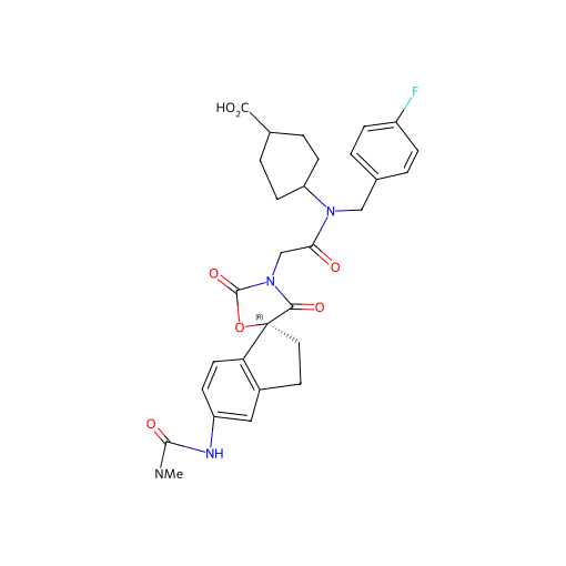 CNC(=O)Nc1ccc2c(c1)CC[C@@]21OC(=O)N(CC(=O)N(Cc2ccc(F)cc2)C2CCC(C(=O)O)CC2)C1=O